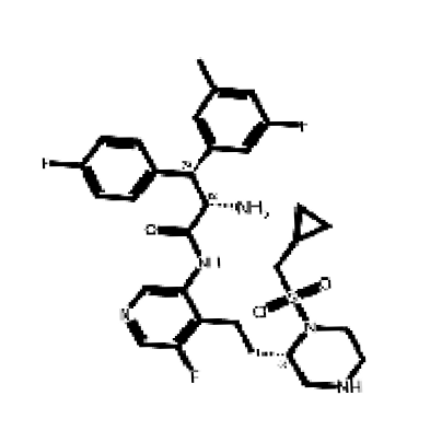 Cc1cc(F)cc([C@H](c2ccc(F)cc2)[C@H](N)C(=O)Nc2cncc(F)c2CC[C@H]2CNCCN2S(=O)(=O)CC2CC2)c1